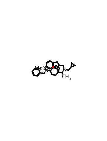 COc1ccc2c(c1)C13C(C2)CN(CC2CC2)C(C)C12CCC(N(C)Cc1ccccc1)C3CC2